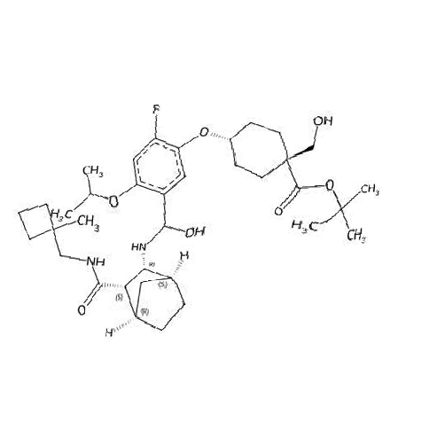 CC(C)Oc1cc(F)c(O[C@H]2CC[C@@](CO)(C(=O)OC(C)(C)C)CC2)cc1C(O)N[C@@H]1[C@H]2CC[C@H](C2)[C@@H]1C(=O)NCC1(C)CCC1